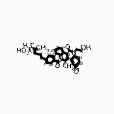 C[C@H]1C[C@H](C(=O)N(CCO)c2ccc(Cl)cc2)c2ccccc2N1C(=O)c1ccc(CCCC(C)(C)C(=O)O)cc1